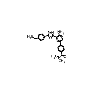 BCc1ccc(-c2nnc(-c3nc(-c4ccc(C(=O)N(C)C)cc4)cnc3N)o2)cc1